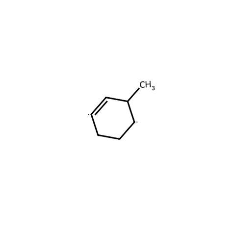 CC1[CH]CC[C]=C1